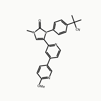 COc1ccc(-c2ccnc(-c3cn(C)c(=O)n3-c3ccc(C(C)(C)C#N)cc3)c2)cn1